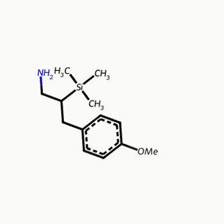 COc1ccc(CC(CN)[Si](C)(C)C)cc1